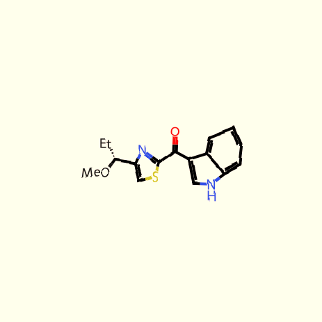 CC[C@@H](OC)c1csc(C(=O)c2c[nH]c3ccccc23)n1